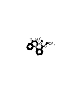 CCOC(OCC)c1ccccc1N1CCC(=O)c2ccccc21